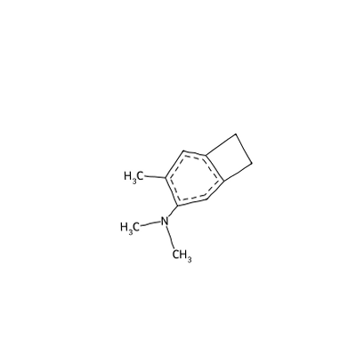 Cc1cc2c(cc1N(C)C)CC2